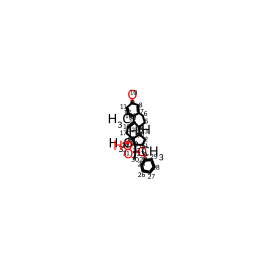 C[C@H]1C[C@H]2[C@@H]3CCC4=CC(=O)C=C[C@]4(C)C3=CC[C@]2(C)[C@@]1(O)C1(Oc2ccccc2)CO1